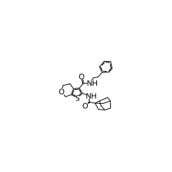 O=C(NCCc1ccccc1)c1c(NC(=O)C23CC4CC(CC2C4)C3)sc2c1CCOC2